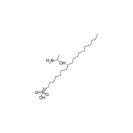 CC(N)O.CCCCCCCCCCCCCCCCCCOS(=O)(=O)O